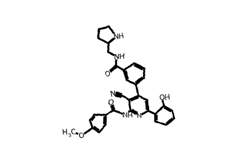 COc1ccc(C(=O)Nc2nc(-c3ccccc3O)cc(-c3cccc(C(=O)NCC4CCCN4)c3)c2C#N)cc1